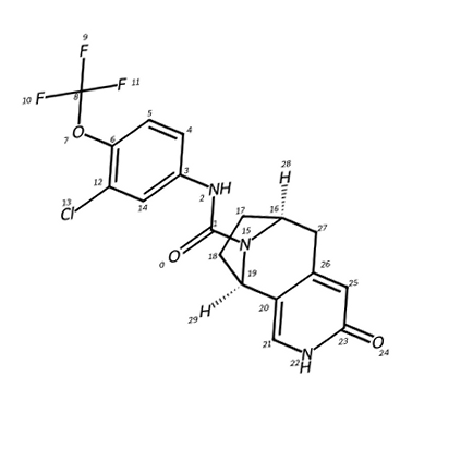 O=C(Nc1ccc(OC(F)(F)F)c(Cl)c1)N1[C@H]2CC[C@@H]1c1c[nH]c(=O)cc1C2